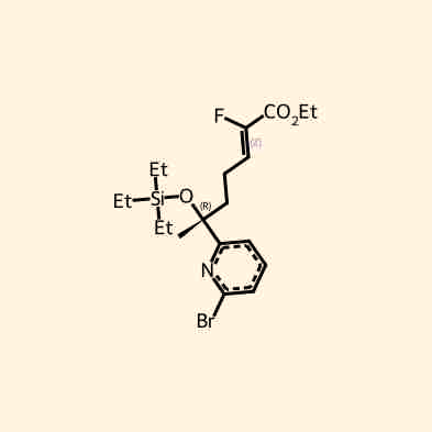 CCOC(=O)/C(F)=C/CC[C@@](C)(O[Si](CC)(CC)CC)c1cccc(Br)n1